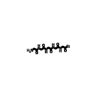 CCC(=O)CNC(=O)CNC(=O)CNC(=O)CNC(=O)CN